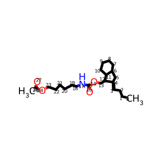 CCC/C=C1\CC2CCCCC2C1COC(=O)NCCCCCCOC(C)=O